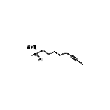 CC#CCCCCC[C@@](C)(NC)C(C)=O